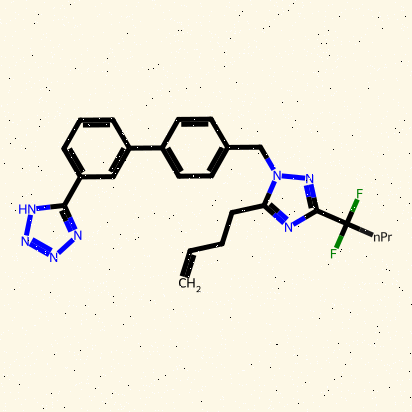 C=CCCc1nc(C(F)(F)CCC)nn1Cc1ccc(-c2cccc(-c3nnn[nH]3)c2)cc1